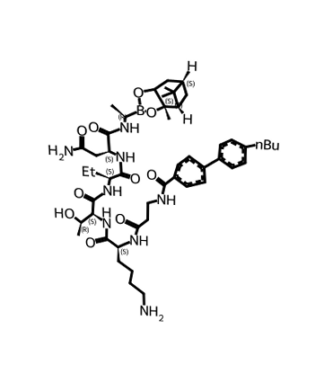 CCCCc1ccc(-c2ccc(C(=O)NCCC(=O)N[C@@H](CCCCN)C(=O)N[C@H](C(=O)N[C@@H](CC)C(=O)N[C@@H](CC(N)=O)C(=O)N[C@@H](C)B3OC4C[C@@H]5C[C@@H](C5(C)C)[C@]4(C)O3)[C@@H](C)O)cc2)cc1